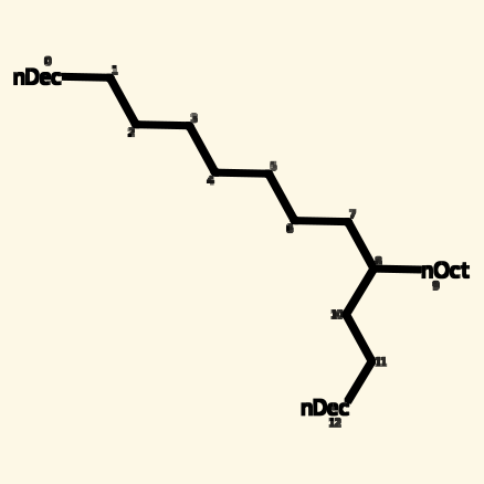 CCCCCCCCCCCCCCCCCC(CCCCCCCC)CCCCCCCCCCCC